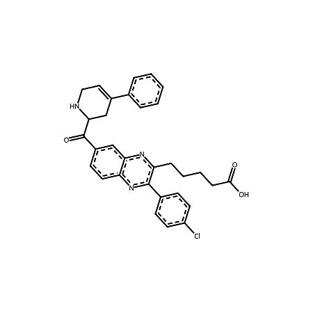 O=C(O)CCCCc1nc2cc(C(=O)C3CC(c4ccccc4)=CCN3)ccc2nc1-c1ccc(Cl)cc1